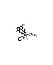 C#Cc1c(F)ccc2cc(C#N)cc(-c3ncc4c(N(C)C[C@@H]5CCCCN5)nc(N5CCN(C)CC5)nc4c3F)c12